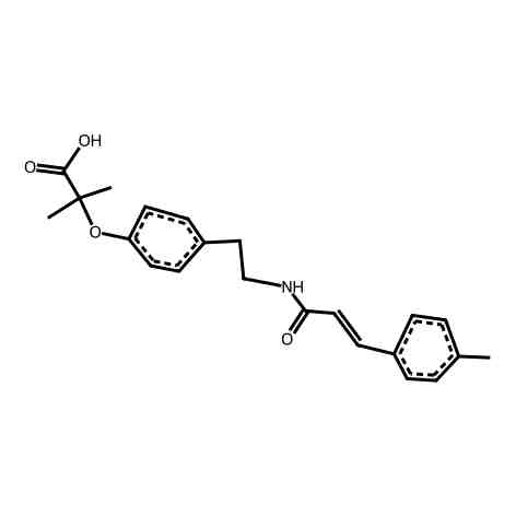 Cc1ccc(/C=C/C(=O)NCCc2ccc(OC(C)(C)C(=O)O)cc2)cc1